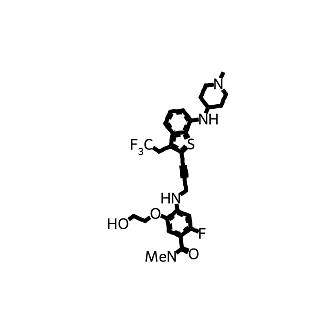 CNC(=O)c1cc(OCCO)c(NCC#Cc2sc3c(NC4CCN(C)CC4)cccc3c2CC(F)(F)F)cc1F